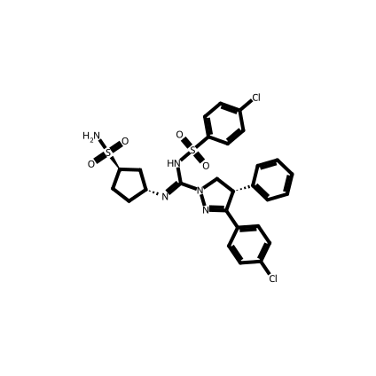 NS(=O)(=O)[C@@H]1CC[C@@H](/N=C(\NS(=O)(=O)c2ccc(Cl)cc2)N2C[C@H](c3ccccc3)C(c3ccc(Cl)cc3)=N2)C1